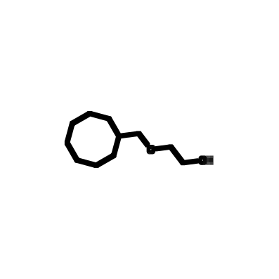 OCCOCC1CCCCCCC1